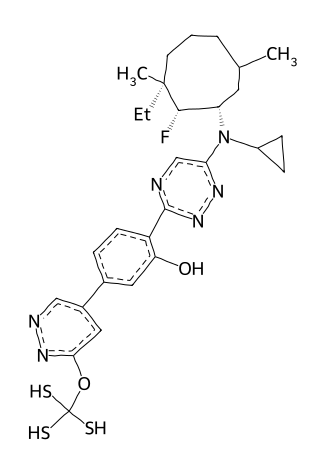 CC[C@]1(C)CCCC(C)C[C@H](N(c2cnc(-c3ccc(-c4cnnc(OC(S)(S)S)c4)cc3O)nn2)C2CC2)[C@@H]1F